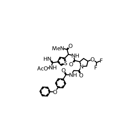 CNC(=O)C(NC(=O)C1CC(OC(F)F)CN1C(=O)CNC(=O)c1ccc(Oc2ccccc2)cc1)c1cc(C(=N)NOC(C)=O)cs1